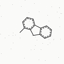 Cc1cccc2c1[CH]c1ccccc1-2